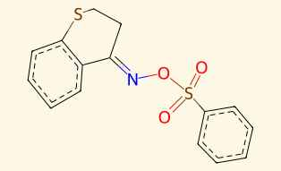 O=S(=O)(ON=C1CCSc2ccccc21)c1ccccc1